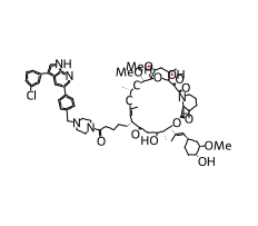 CO[C@H]1C[C@@H](C)C/C(C)=C/[C@@H](CCCCC(=O)N2CCN(Cc3ccc(-c4cnc5[nH]cc(-c6cccc(Cl)c6)c5c4)cc3)CC2)C(=O)C[C@H](O)[C@@H](C)[C@@H](/C(C)=C/[C@@H]2CC[C@@H](O)[C@H](OC)C2)OC(=O)[C@@H]2CCCCN2C(=O)C(=O)[C@]2(O)O[C@H]1[C@@H](OC)C[C@H]2C